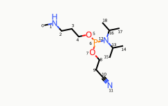 CNCCCOP(OCCC#N)N(C(C)C)C(C)C